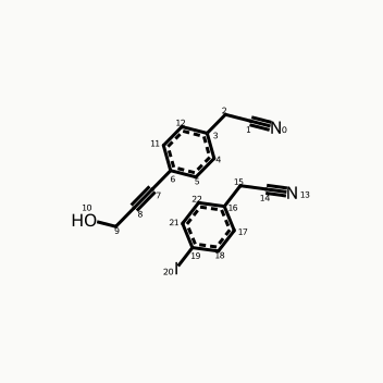 N#CCc1ccc(C#CCO)cc1.N#CCc1ccc(I)cc1